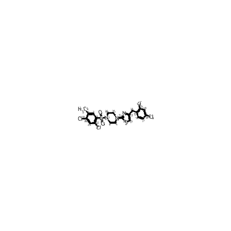 Cc1cc(S(=O)(=O)N2CCN(c3nc(Cc4ccc(Cl)cc4Cl)cs3)CC2)c(Cl)cc1Cl